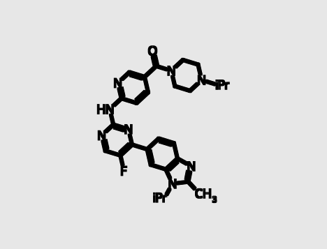 Cc1nc2ccc(-c3nc(Nc4ccc(C(=O)N5CCN(C(C)C)CC5)cn4)ncc3F)cc2n1C(C)C